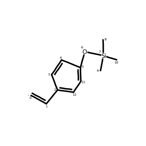 [CH]=Cc1ccc(O[Si](C)(C)C)cc1